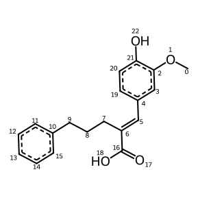 COc1cc(/C=C(\CCCc2ccccc2)C(=O)O)ccc1O